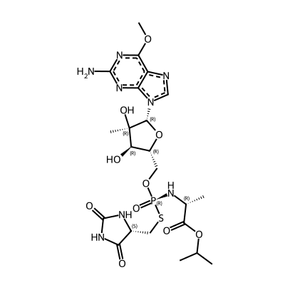 COc1nc(N)nc2c1ncn2[C@@H]1O[C@H](CO[P@](=O)(N[C@H](C)C(=O)OC(C)C)SC[C@H]2NC(=O)NC2=O)[C@@H](O)[C@@]1(C)O